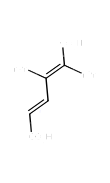 CCCC(/C=C/C(=O)O)=C(/CCC)C(=O)O